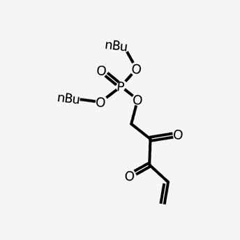 C=CC(=O)C(=O)COP(=O)(OCCCC)OCCCC